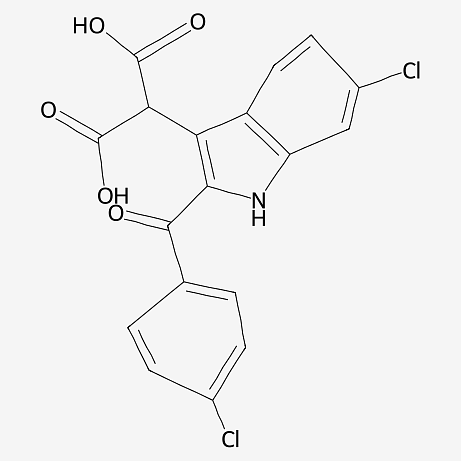 O=C(c1ccc(Cl)cc1)c1[nH]c2cc(Cl)ccc2c1C(C(=O)O)C(=O)O